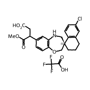 COC(=O)C(CC(=O)O)c1ccc2c(c1)NC[C@@]1(CCCc3cc(Cl)ccc31)CO2.O=C(O)C(F)(F)F